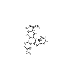 Cc1cccc(-c2nc3ncccn3c2-c2ccc3nnn(C)c3c2)n1